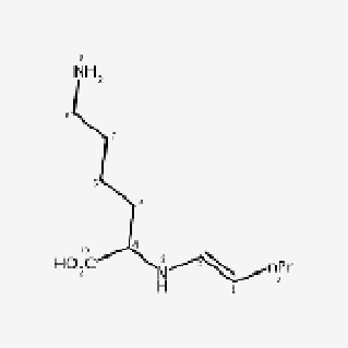 CCCC=CNC(CCCCN)C(=O)O